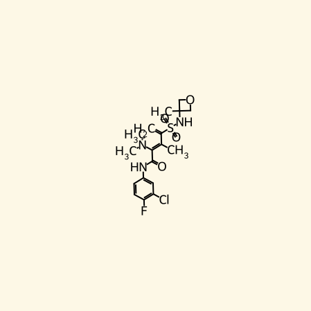 C=C(/C(C)=C(/C(=O)Nc1ccc(F)c(Cl)c1)N(C)C)S(=O)(=O)NC1(C)COC1